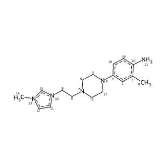 Cc1cc(N2CCN(CCn3cc[n+](C)c3)CC2)ccc1N